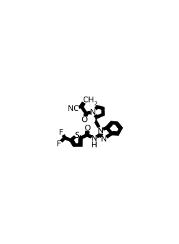 C=C(C#N)C(=O)N1CCC[C@H]1Cn1c(NC(=O)c2ccc(C(F)F)s2)nc2ccccc21